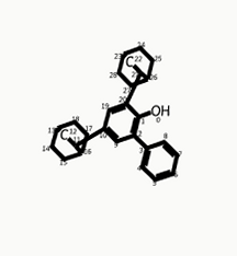 Oc1c(-c2ccccc2)cc(C2CC3CCC2CC3)cc1C1CC2CCC1CC2